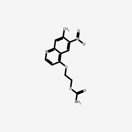 Cc1cc2nccc(OCCOC(N)=O)c2cc1[N+](=O)[O-]